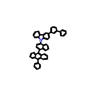 c1ccc(-c2cccc(-c3ccc4c(c3)c3ccccc3n4-c3ccc(-c4c5ccccc5c(-c5ccccc5)c5ccccc45)c4ccccc34)c2)cc1